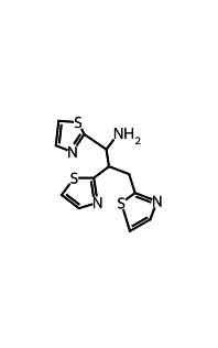 NC(c1nccs1)C(Cc1nccs1)c1nccs1